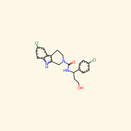 O=C(NC(CCO)c1ccc(Cl)cc1)N1CCc2c([nH]c3ccc(Cl)cc23)C1